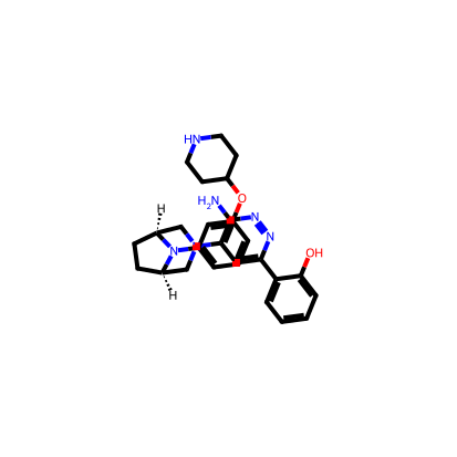 Nc1nnc(-c2ccccc2O)cc1N1C[C@H]2CC[C@@H](C1)N2c1cccc(OC2CCNCC2)c1